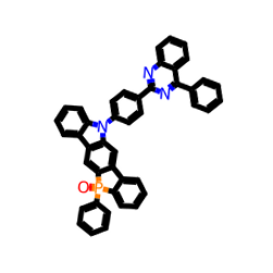 O=P1(c2ccccc2)c2ccccc2-c2cc3c(cc21)c1ccccc1n3-c1ccc(-c2nc(-c3ccccc3)c3ccccc3n2)cc1